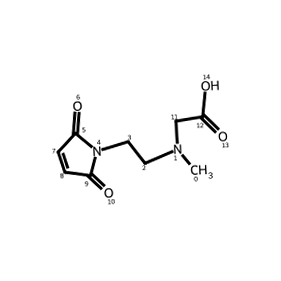 CN(CCN1C(=O)C=CC1=O)CC(=O)O